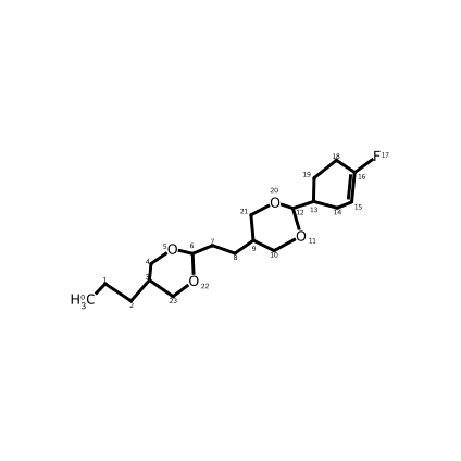 CCCC1COC(CCC2COC(C3CC=C(F)CC3)OC2)OC1